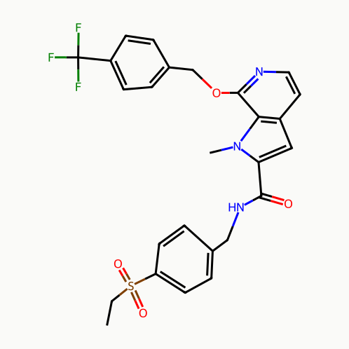 CCS(=O)(=O)c1ccc(CNC(=O)c2cc3ccnc(OCc4ccc(C(F)(F)F)cc4)c3n2C)cc1